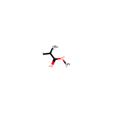 CCCCC(C)C(=O)OCCC